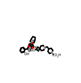 Nc1nnc(-c2ccccc2O)cc1N1CC2CCC(C1)N2c1ccnc(OC2CC3(CCN(CC4CCN(C(=O)O)CC4)CC3)C2)c1